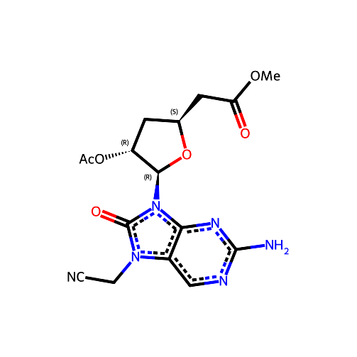 COC(=O)C[C@@H]1C[C@@H](OC(C)=O)[C@H](n2c(=O)n(CC#N)c3cnc(N)nc32)O1